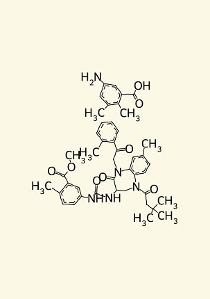 COC(=O)c1cc(NC(=O)NC2CN(C(=O)CC(C)(C)C)c3ccc(C)cc3N(CC(=O)c3ccccc3C)C2=O)ccc1C.Cc1cc(N)cc(C(=O)O)c1C